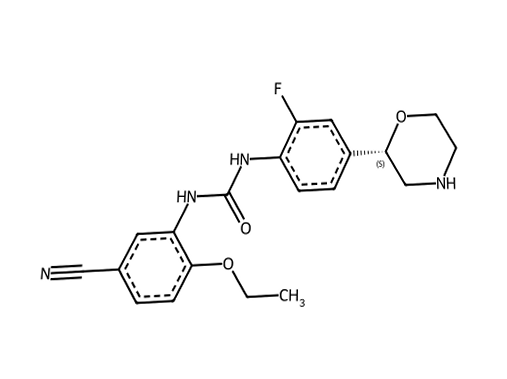 CCOc1ccc(C#N)cc1NC(=O)Nc1ccc([C@H]2CNCCO2)cc1F